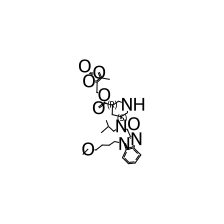 COCCCCn1c(C(=O)N(CC(C)C)[C@@H]2CNC[C@H](C(=O)OCc3oc(=O)oc3C)C2)nc2ccccc21